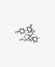 C=CC[C@]1(C)C[C@H](c2cccc(Cl)c2)[C@@H](c2ccc(Cl)cc2)N([C@@H](c2ccccn2)C2CC2)C1=O